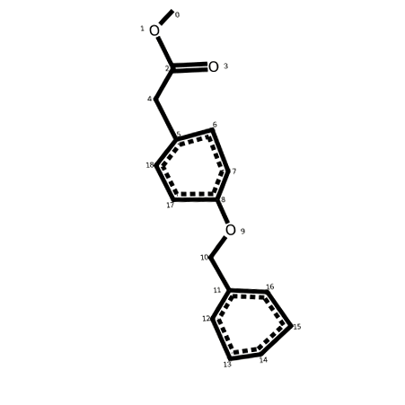 COC(=O)[CH]c1ccc(OCc2ccccc2)cc1